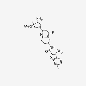 COC1(C)CN(c2cc(F)c3c(n2)CCC(NC(=O)c2sc4nc(C)ccc4c2N)C3)CC1N